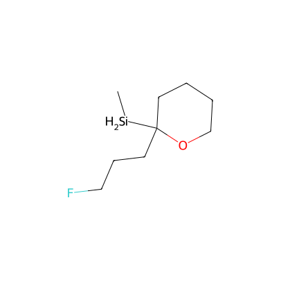 C[SiH2]C1(CCCF)CCCCO1